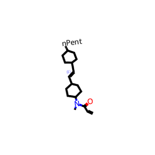 C=CC(=O)N(C)C1CCC(/C=C/C2CCC(CCCCC)CC2)CC1